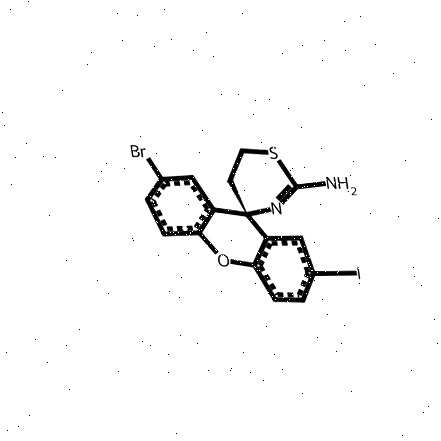 NC1=N[C@@]2(CCS1)c1cc(Br)ccc1Oc1ccc(I)cc12